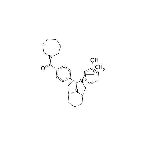 C=CCN1CCC2CCCC(C1)N2C(c1ccc(C(=O)N2CCCCCC2)cc1)c1cccc(O)c1